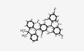 CC1(C)c2ccccc2N(c2c(F)cc(C(c3c(F)cc(F)cc3F)c3c(F)cc(F)cc3F)cc2F)c2ccccc21